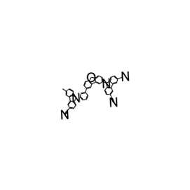 Cc1ccc2c(c1)c1cc(C#N)ccc1n2-c1cccc(-c2ccc3oc4ccc(-n5c6ccc(C#N)cc6c6cc(C#N)ccc65)cc4c3c2)c1